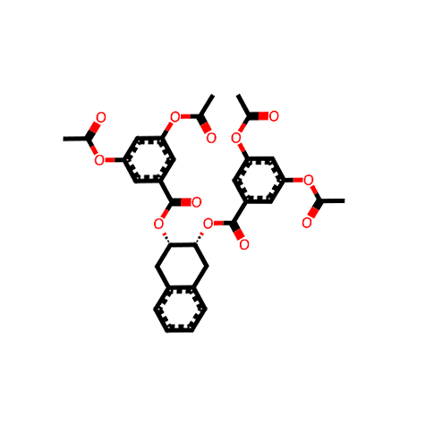 CC(=O)Oc1cc(OC(C)=O)cc(C(=O)O[C@H]2Cc3ccccc3C[C@H]2OC(=O)c2cc(OC(C)=O)cc(OC(C)=O)c2)c1